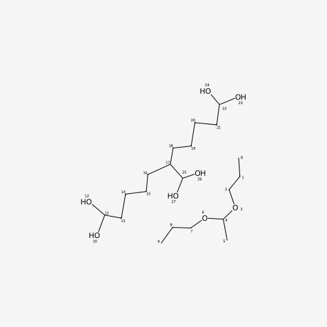 CCCOC(C)OCCC.OC(O)CCCCC(CCCCC(O)O)C(O)O